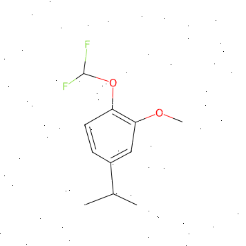 COc1cc([C](C)C)ccc1OC(F)F